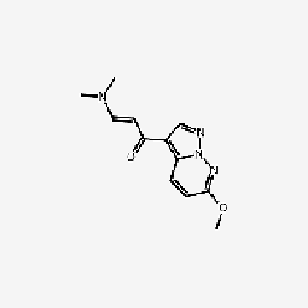 COc1ccc2c(C(=O)C=CN(C)C)cnn2n1